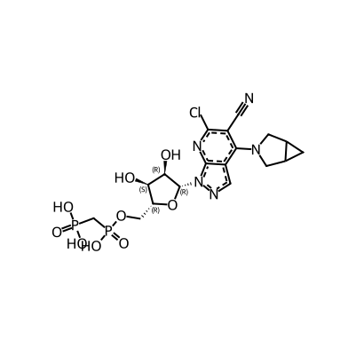 N#Cc1c(Cl)nc2c(cnn2[C@@H]2O[C@H](COP(=O)(O)CP(=O)(O)O)[C@@H](O)[C@H]2O)c1N1CC2CC2C1